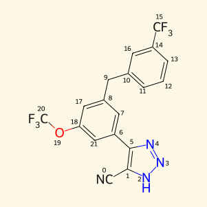 N#Cc1[nH]nnc1-c1cc(Cc2cccc(C(F)(F)F)c2)cc(OC(F)(F)F)c1